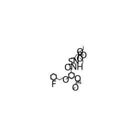 CCOP(=O)(Cc1csc(NC(=O)c2cc(OCCc3ccccc3F)cc(O[C@@H](C)COC)c2)n1)OCC